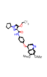 COc1cc2nccc(Oc3ccc(NC(=O)c4nn(C5CCCC5)cc4OCC(F)(F)F)cc3)c2cc1OC